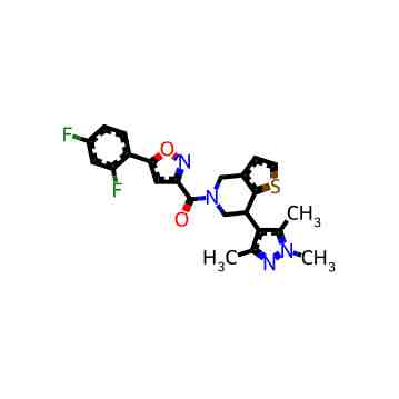 Cc1nn(C)c(C)c1C1CN(C(=O)c2cc(-c3ccc(F)cc3F)on2)Cc2ccsc21